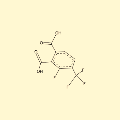 O=C(O)c1ccc(C(F)(F)F)c(F)c1C(=O)O